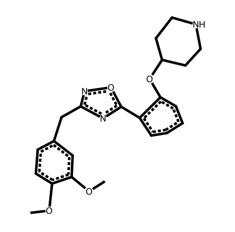 COc1ccc(Cc2noc(-c3ccccc3OC3CCNCC3)n2)cc1OC